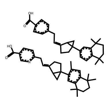 CC1(C)CCC(C)(C)c2cc(C34CCC(=CCc5ccc(C(=O)O)cc5)C3C4)ccc21.Cc1cc2c(cc1C13CCC(=CCc4ccc(C(=O)O)cn4)C1C3)C(C)(C)CCC2(C)C